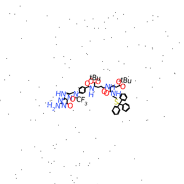 CC(C)(C)OC(=O)CCC(NC(=O)CCC(NC(=O)c1ccc(N(Cc2c[nH]c3nc(N)nc(=O)c-3n2)C(=O)C(F)(F)F)cc1)C(=O)OC(C)(C)C)C(=O)NCCSC(c1ccccc1)(c1ccccc1)c1ccccc1